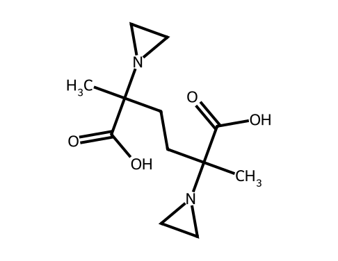 CC(CCC(C)(C(=O)O)N1CC1)(C(=O)O)N1CC1